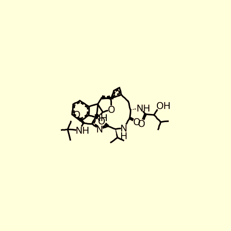 CC(C)C(O)C(=O)N[C@H]1Cc2ccc3c(c2)C2(c4ccccc4NC2O3)c2oc(nc2C(=O)NC(C)(C)C)[C@H](C(C)C)NC1=O